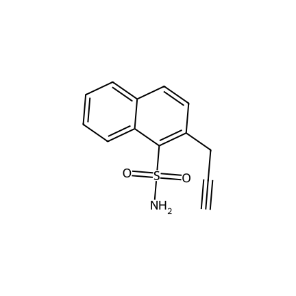 C#CCc1ccc2ccccc2c1S(N)(=O)=O